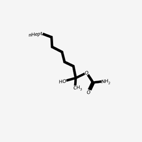 CCCCCCCCCCCCC(C)(O)OC(N)=O